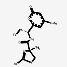 COc1cc([C@@H](CC(C)C)NC(=O)[C@]2(N)CSC(C(C)=O)=N2)oc(=O)c1